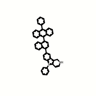 C1=Cc2c(c3cc(-c4ccc(-c5c6ccccc6c(-c6ccccc6)c6ccccc56)c5ccccc45)ccc3n2-c2ccccc2)CN1